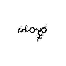 O=C(NC1CCC(Nc2cc(C(F)(F)F)nc3ccc(Cl)cc23)CC1)c1cnco1